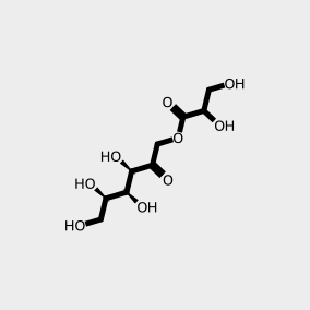 O=C(OCC(=O)[C@H](O)[C@@H](O)[C@H](O)CO)C(O)CO